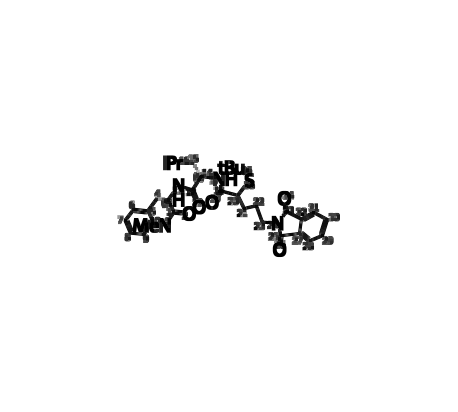 CNC(=O)[C@H](Cc1ccccc1)NC(=O)[C@H](CC(C)C)NC(=O)C(CCCN1C(=O)c2ccccc2C1=O)SC(C)(C)C